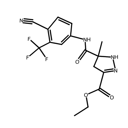 CCOC(=O)C1=NNC(C)(C(=O)Nc2ccc(C#N)c(C(F)(F)F)c2)C1